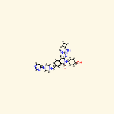 C=N/C(=N\c1c(C)c2ccc(CN3CCN(c4ccncn4)CC3)cc2c(=O)n1C1CCC(O)CC1)NC1CCC1